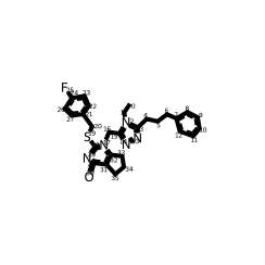 CCn1c(CCCc2ccccc2)nnc1Cn1c(SCc2ccc(F)cc2)nc(=O)c2c1CCC2